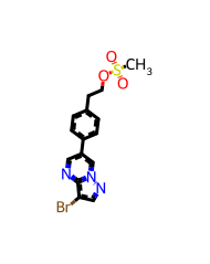 CS(=O)(=O)OCCc1ccc(-c2cnc3c(Br)cnn3c2)cc1